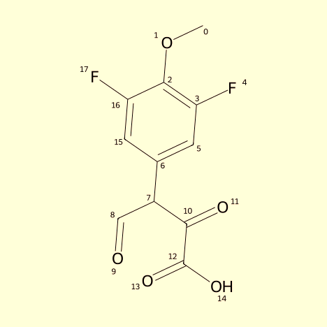 COc1c(F)cc(C(C=O)C(=O)C(=O)O)cc1F